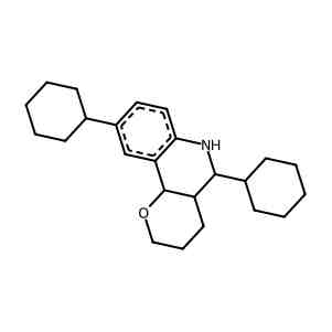 c1cc2c(cc1C1CCCCC1)C1OCCCC1C(C1CCCCC1)N2